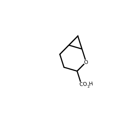 O=C(O)C1CCC2CC2O1